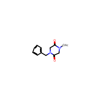 CC(=O)ON1CC(=O)N(Cc2ccccc2)CC1=O